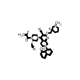 C=C(F)C(=O)N1CCN(c2c(C#N)c(OC[C@]3(F)CCCN(C)C3)nc3c2CCN(c2cccc4cccc(C)c24)C3)C[C@@H]1CC#N